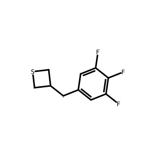 Fc1cc([CH]C2CSC2)cc(F)c1F